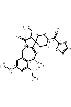 CCN1C(=O)N2Cc3cc(OC)cc(OC)c3[C@@H](C)C=C2C12CCN(C(=O)c1ccco1)CC2